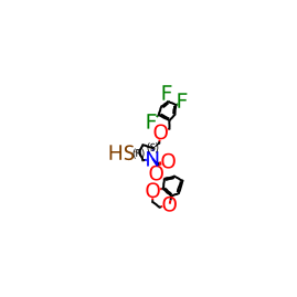 O=C(Oc1cccc2c1OCCO2)N1C[C@H](S)C[C@H]1COCc1cc(F)c(F)cc1F